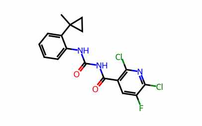 CC1(c2ccccc2NC(=O)NC(=O)c2cc(F)c(Cl)nc2Cl)CC1